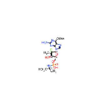 COc1nc(N)nc2c1ncn2[C@@H]1O[C@H](COP(=O)(O)N[C@@H](C)C(=O)O)[C@@H](O)[C@@]1(C)F